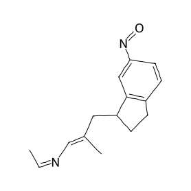 C/C=N\C=C(/C)CC1CCc2ccc(N=O)cc21